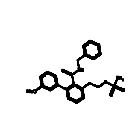 COc1cccc(-c2cccc(CCOS(C)(=O)=O)c2C(=O)NCc2ccccc2)c1